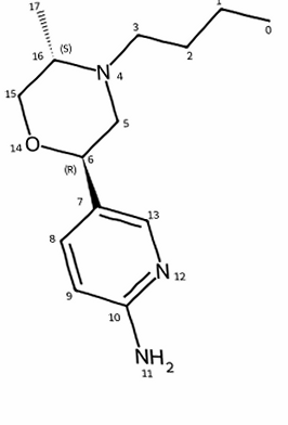 CCCCN1C[C@@H](c2ccc(N)nc2)OC[C@@H]1C